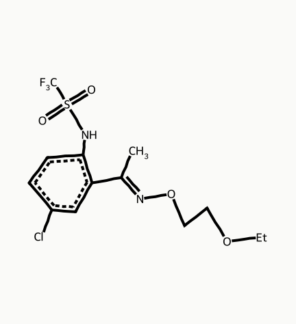 CCOCCO/N=C(\C)c1cc(Cl)ccc1NS(=O)(=O)C(F)(F)F